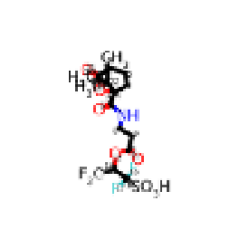 CC12CCC(C(=O)NCCC(=O)OC(C(F)(F)F)C(F)(F)S(=O)(=O)O)(OC1=O)C2(C)C